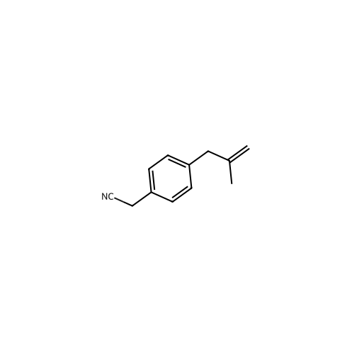 C=C(C)Cc1ccc(CC#N)cc1